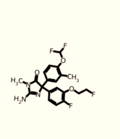 Cc1cc(C2(c3ccc(F)c(OCCF)c3)N=C(N)N(C)C2=O)ccc1OC(F)F